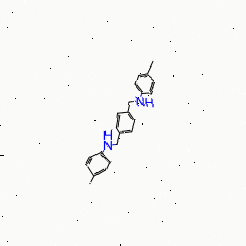 Cc1ccc(NCc2ccc(CNc3ccc(C)cc3)cc2)cc1